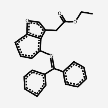 CCOC(=O)Cc1coc2cccc(N=C(c3ccccc3)c3ccccc3)c12